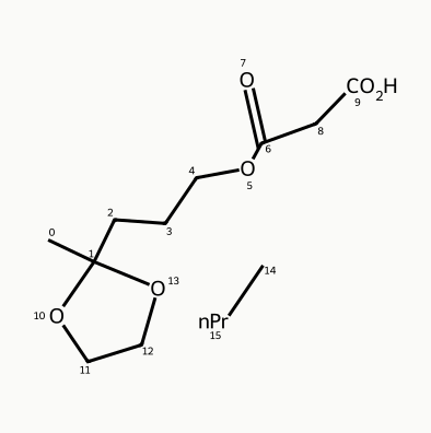 CC1(CCCOC(=O)CC(=O)O)OCCO1.CCCC